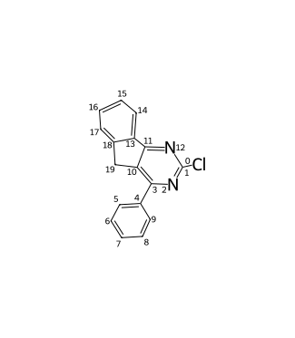 Clc1nc(-c2ccccc2)c2c(n1)-c1ccccc1C2